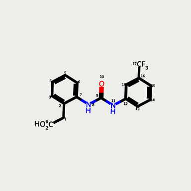 O=C(O)Cc1ccccc1NC(=O)Nc1cccc(C(F)(F)F)c1